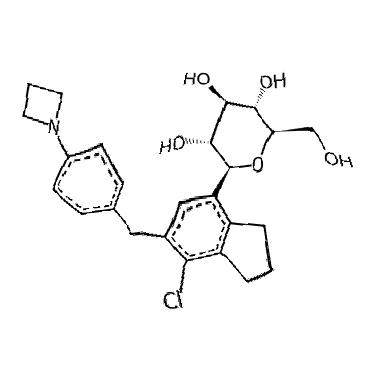 OC[C@H]1O[C@@H](c2cc(Cc3ccc(N4CCC4)cc3)c(Cl)c3c2CCC3)[C@H](O)[C@@H](O)[C@@H]1O